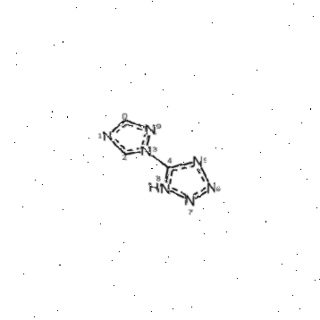 c1ncn(-c2nnn[nH]2)n1